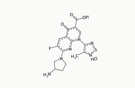 Cc1nsnc1-n1cc(C(=O)O)c(=O)c2cc(F)c(N3CCC(N)C3)nc21.Cl